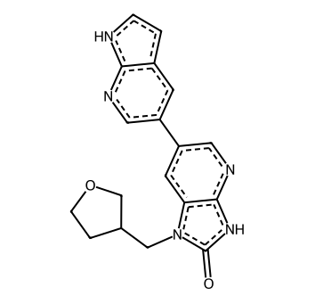 O=c1[nH]c2ncc(-c3cnc4[nH]ccc4c3)cc2n1CC1CCOC1